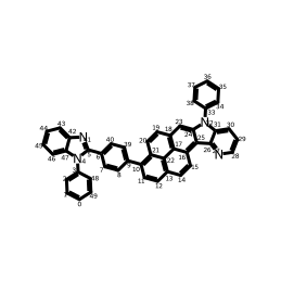 c1ccc(-n2c(-c3ccc(-c4ccc5ccc6c7c(ccc4c57)cc4c6c5ncccc5n4-c4ccccc4)cc3)nc3ccccc32)cc1